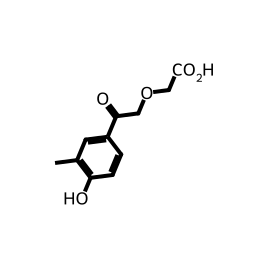 Cc1cc(C(=O)COCC(=O)O)ccc1O